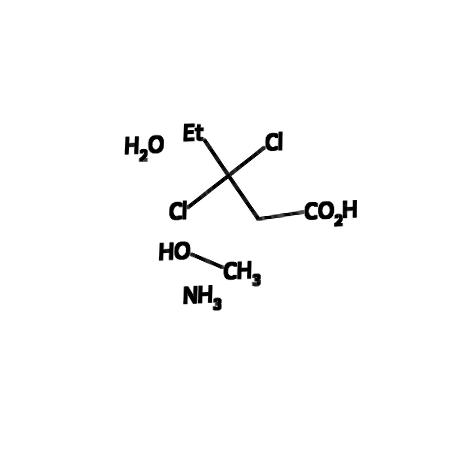 CCC(Cl)(Cl)CC(=O)O.CO.N.O